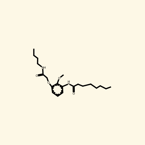 CCCCCCCC(=O)Nc1cccc(OCC(=O)NCCCC)c1OC